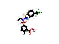 CCN(c1nc2cc(C(F)(F)F)ccc2s1)S(=O)(=O)c1ccc(C)c(C(=O)OC)c1